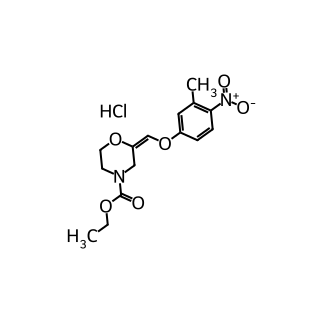 CCOC(=O)N1CCOC(=COc2ccc([N+](=O)[O-])c(C)c2)C1.Cl